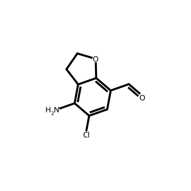 Nc1c(Cl)cc(C=O)c2c1CCO2